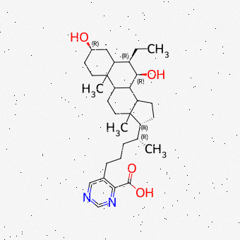 CC[C@@H]1C2C[C@H](O)CCC2(C)C2CCC3(C)C(CC[C@@H]3[C@H](C)CCCc3cncnc3C(=O)O)C2[C@@H]1O